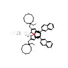 CCC1(CC2=Cc3c(-c4ccc5ccccc5c4)cccc3[CH]2[Zr]([CH3])([CH3])(=[SiH2])[CH]2C(CC3(CC)CCCCCCCC3)=Cc3c(-c4ccc5ccccc5c4)cccc32)CCCCCCCC1.Cl.Cl